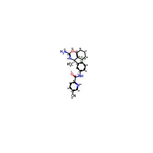 C[C@]1(c2cc(NC(=O)c3ccc(C#N)cn3)ccc2F)N=C(N)OC2=C1CCCC2